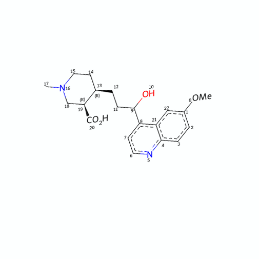 COc1ccc2nccc(C(O)CC[C@@H]3CCN(C)C[C@@H]3C(=O)O)c2c1